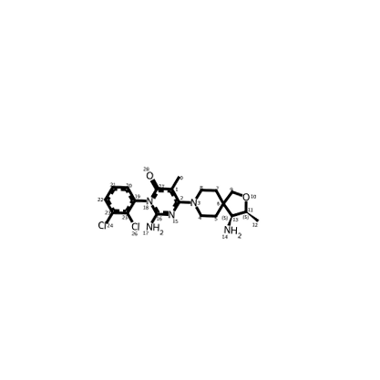 Cc1c(N2CCC3(CC2)CO[C@@H](C)[C@H]3N)nc(N)n(-c2cccc(Cl)c2Cl)c1=O